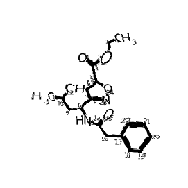 CCOC(=O)C1CC([C@H](CC(C)C)NC(=O)Cc2ccccc2)=NO1